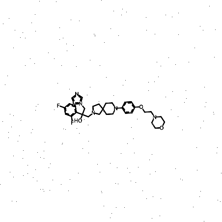 OC(CN1CCC2(CCN(c3ccc(OCCN4CCOCC4)cc3)CC2)C1)(Cn1cncn1)c1ccc(F)cc1F